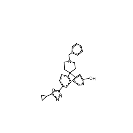 Oc1cccc(C2(c3ccc(-c4nnc(C5CC5)o4)cc3)CCN(Cc3ccccc3)CC2)c1